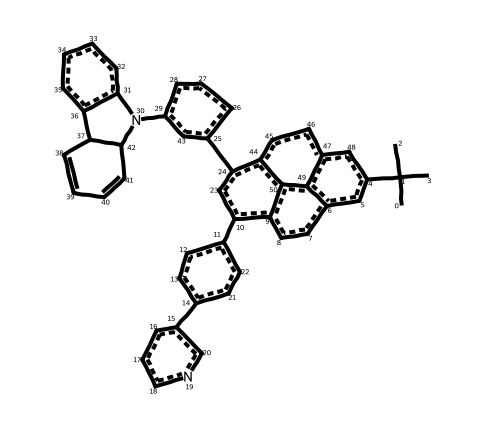 CC(C)(C)c1cc2ccc3c(-c4ccc(-c5cccnc5)cc4)cc(-c4cccc(N5c6ccccc6C6C=CC=CC65)c4)c4ccc(c1)c2c34